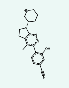 Cc1c(-c2ccc(C#N)cc2O)nnc2c1CCN2[C@H]1CCCNC1